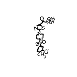 Cc1ccc(S(=O)(=O)N2CCN(c3ncc(C(=O)NO)s3)CC2)cc1Cl